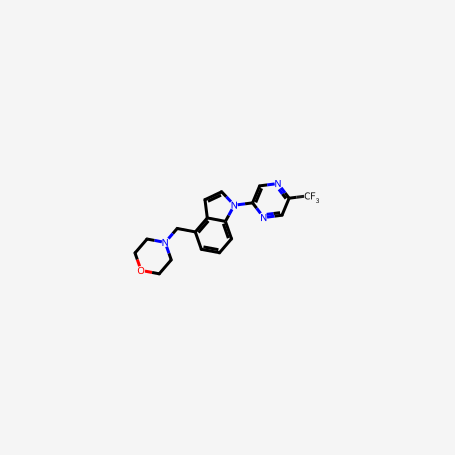 FC(F)(F)c1cnc(-n2ccc3c(CN4CCOCC4)cccc32)cn1